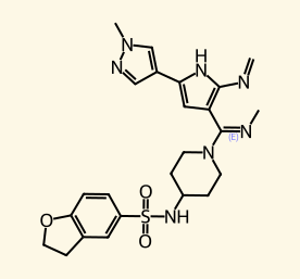 C=Nc1[nH]c(-c2cnn(C)c2)cc1/C(=N\C)N1CCC(NS(=O)(=O)c2ccc3c(c2)CCO3)CC1